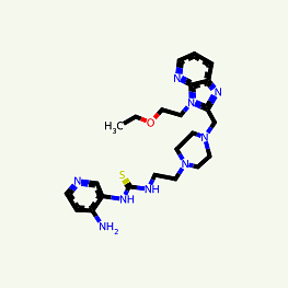 CCOCCn1c(CN2CCN(CCNC(=S)Nc3cnccc3N)CC2)nc2cccnc21